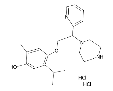 Cc1cc(OCC(c2ccccn2)N2CCNCC2)c(C(C)C)cc1O.Cl.Cl